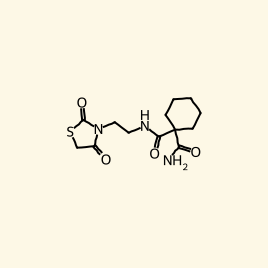 NC(=O)C1(C(=O)NCCN2C(=O)CSC2=O)CCCCC1